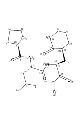 CC(C)C[C@H](NC(=O)[C@H]1CCCO1)C(=O)N[C@@H](C[C@@H]1CCCNC1=O)C(=O)CCl